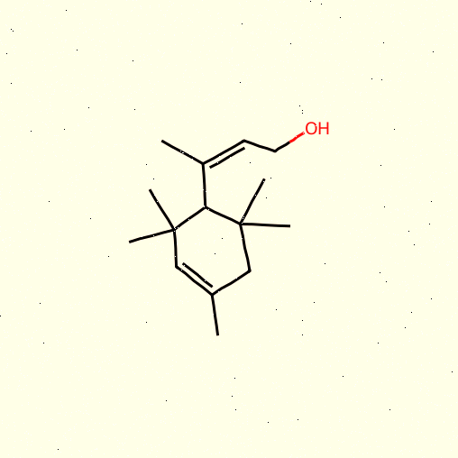 CC1=CC(C)(C)C(/C(C)=C\CO)C(C)(C)C1